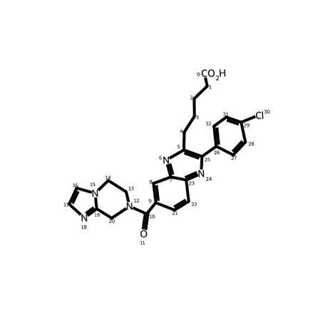 O=C(O)CCCCc1nc2cc(C(=O)N3CCn4ccnc4C3)ccc2nc1-c1ccc(Cl)cc1